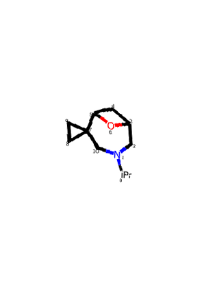 CC(C)N1CC2CC(O2)C2(CC2)C1